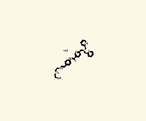 C[C@H](CNCCc1ccc(NC(=O)c2ccc(CN(Cc3ccccn3)Cc3ccccn3)nc2)cc1)NC[C@@H](C)N.Cl